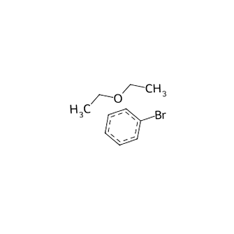 Brc1ccccc1.CCOCC